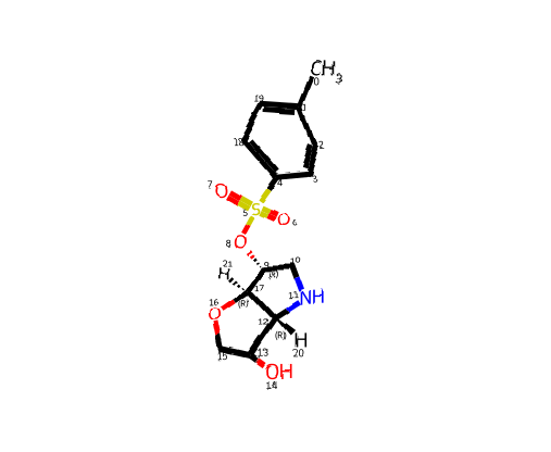 Cc1ccc(S(=O)(=O)O[C@@H]2CN[C@@H]3C(O)CO[C@H]32)cc1